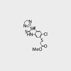 C1CN2CCN1CC2.COC(=O)CSc1cc(NC(=S)S)c(F)cc1Cl